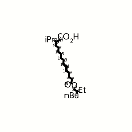 CCCCC(CC)COC(=O)CCCCCCCCCCCCC(CC(=O)O)C(C)C